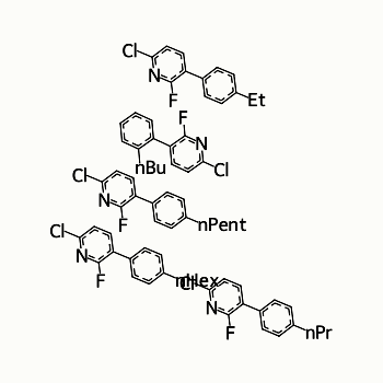 CCCCCCc1ccc(-c2ccc(Cl)nc2F)cc1.CCCCCc1ccc(-c2ccc(Cl)nc2F)cc1.CCCCc1ccccc1-c1ccc(Cl)nc1F.CCCc1ccc(-c2ccc(Cl)nc2F)cc1.CCc1ccc(-c2ccc(Cl)nc2F)cc1